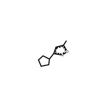 Cc1cc(C2CCCC2)no1